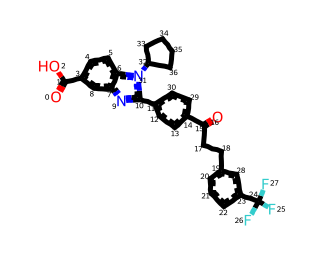 O=C(O)c1ccc2c(c1)nc(-c1ccc(C(=O)CCc3cccc(C(F)(F)F)c3)cc1)n2C1CCCC1